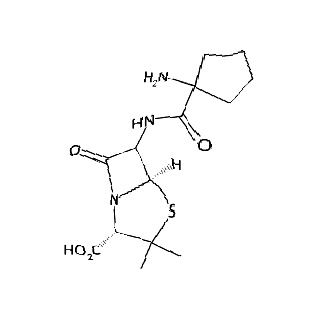 CC1(C)S[C@@H]2C(NC(=O)C3(N)CCCC3)C(=O)N2[C@H]1C(=O)O